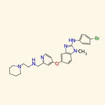 Cn1c(Nc2ccc(Br)cc2)nc2cc(Oc3ccnc(CNCCN4CCCCC4)c3)ccc21